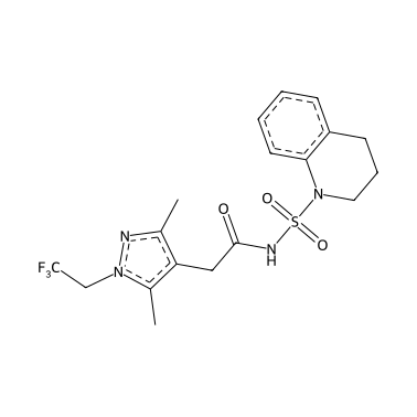 Cc1nn(CC(F)(F)F)c(C)c1CC(=O)NS(=O)(=O)N1CCCc2ccccc21